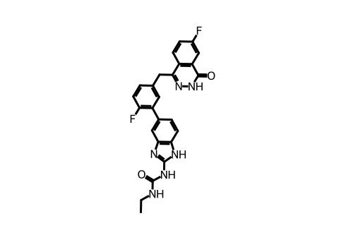 CCNC(=O)Nc1nc2cc(-c3cc(Cc4n[nH]c(=O)c5cc(F)ccc45)ccc3F)ccc2[nH]1